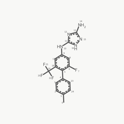 Cc1ccc(-c2c(F)cc(Nc3nc(N)n[nH]3)cc2C(F)(F)F)cc1